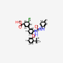 Cc1ccc(NC(=O)Nc2cc(-c3cc(F)cc(C(=O)O)c3)ccc2Oc2ccccc2C(C)(C)C)cc1